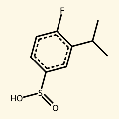 CC(C)c1cc(S(=O)O)ccc1F